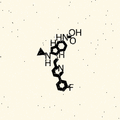 O=C(O)NC1CC[C@@H]2[C@H](C1)C[C@@H](NC1CC1)[C@H]2/C=C/c1ccc(-c2cccc(F)c2)cn1